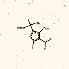 CCCCCCCC(C)(CCCC)n1nc(I)c(C(F)F)c1OC